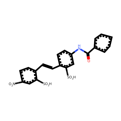 O=C(Nc1ccc(/C=C/c2ccc([N+](=O)[O-])cc2S(=O)(=O)O)c(S(=O)(=O)O)c1)c1ccccc1